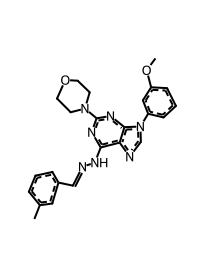 COc1cccc(-n2cnc3c(NN=Cc4cccc(C)c4)nc(N4CCOCC4)nc32)c1